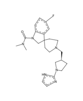 CN(C)C(=O)N1CC2(CCN(C[C@H]3CCN(c4ncc[nH]4)C3)CC2)c2cc(F)ccc21